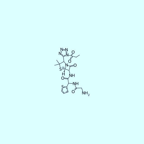 CCS(=O)(=O)n1nnnc1C1N2C(=O)C(NC(=O)C(NC(=O)CN)c3cccs3)[C@@H]2SC1(C)C